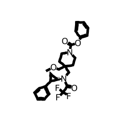 COCC1(CN(C(=O)C(F)(F)F)[C@@H]2CC2c2ccccc2)CCN(C(=O)Oc2ccccc2)CC1